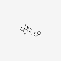 CCN1CCN(Cc2ccc3c(c2)CCO3)CC1c1ccccc1C(C)C